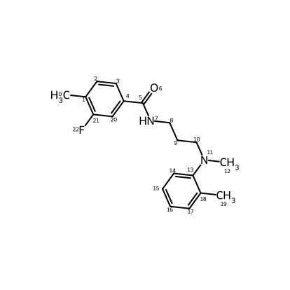 Cc1ccc(C(=O)NCCCN(C)c2ccccc2C)cc1F